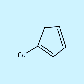 [Cd][C]1=CC=CC1